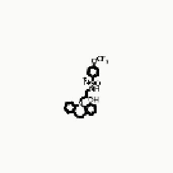 CN=[S@](=O)(NC[C@H](O)CN1c2ccccc2CCc2ccccc21)c1ccc(OC(F)(F)F)cc1